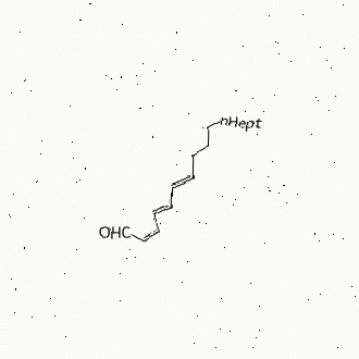 CCCCCCCCCCC=C/C=C/C=C\C=O